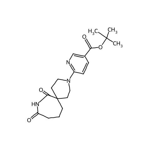 CC(C)(C)OC(=O)c1ccc(N2CCC3(CCCC(=O)NC3=O)CC2)nc1